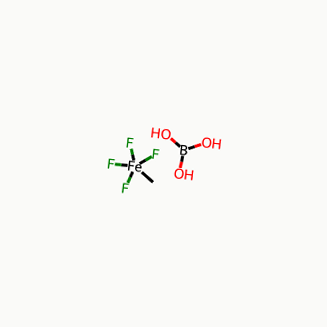 OB(O)O.[CH3][Fe]([F])([F])([F])[F]